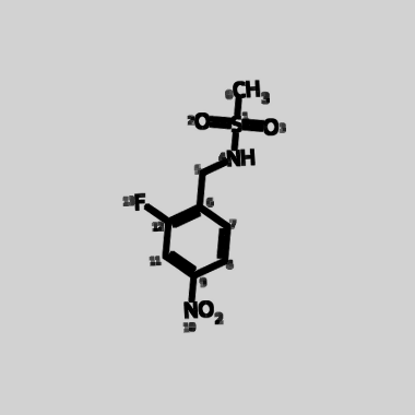 CS(=O)(=O)NCc1ccc([N+](=O)[O-])cc1F